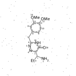 CCC(N)c1nnc(Cc2ccc(OC)c(OC)c2)[nH]c1=O